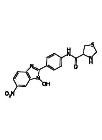 O=C(Nc1ccc(-c2nc3ccc([N+](=O)[O-])cc3n2O)cc1)C1CSCN1